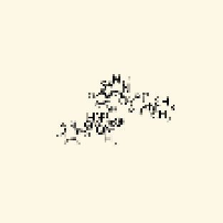 CN(C)C1CCC(Oc2ncnc3sc4c(c23)[C@@H](C[C@H](NC(=O)OCc2ccccc2)C(N)=O)CC4)CC1